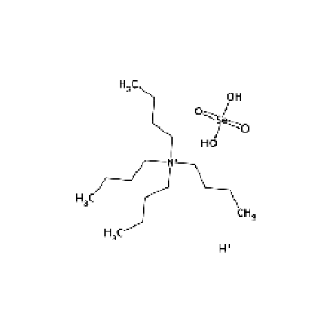 CCCC[N+](CCCC)(CCCC)CCCC.O=[Se](=O)(O)O.[H+]